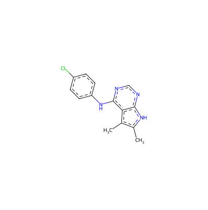 Cc1[nH]c2ncnc(Nc3ccc(Cl)cc3)c2c1C